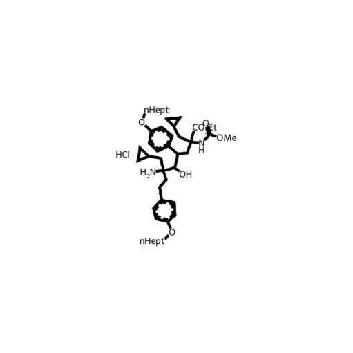 CCCCCCCOc1ccc(CCC(N)(CC2CC2)C(O)C(CC(CC2CC2)(NC(=O)OC)C(=O)OCC)c2ccc(OCCCCCCC)cc2)cc1.Cl